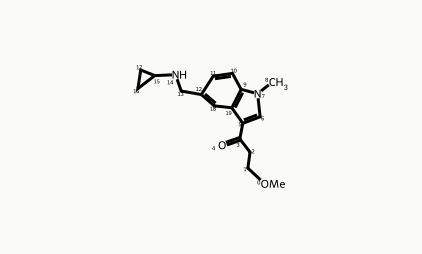 COCCC(=O)c1cn(C)c2ccc(CNC3CC3)cc12